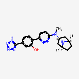 CN(c1ccc(-c2ccc(-c3nnn[nH]3)cc2O)nn1)[C@@H]1C[C@H]2CC[C@@H](C1)N2